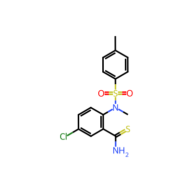 Cc1ccc(S(=O)(=O)N(C)c2ccc(Cl)cc2C(N)=S)cc1